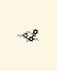 Cc1nc(C)nc(Nc2ccc(C)c(-c3nc4ccccc4s3)c2)n1